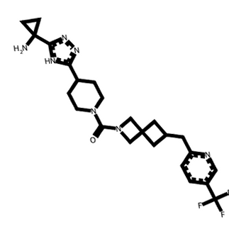 NC1(c2nnc(C3CCN(C(=O)N4CC5(CC(Cc6ccc(C(F)(F)F)cn6)C5)C4)CC3)[nH]2)CC1